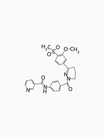 COc1cc(C2=NN(C(=O)c3ccc(NC(=O)c4cccnc4)cc3)CCC2)ccc1S(C)(=O)=O